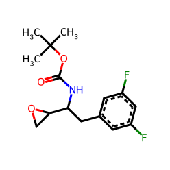 CC(C)(C)OC(=O)NC(Cc1cc(F)cc(F)c1)C1CO1